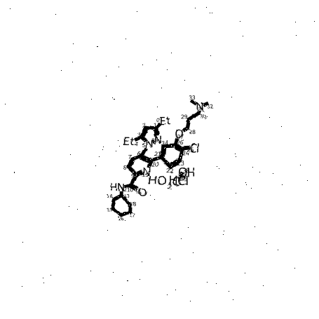 CCc1cc(CC)n(-c2ccc(C(=O)NC3CCCCC3)nc2-c2ccc(Cl)c(OCCCN(C)C)c2)n1.Cl.O=C(O)O